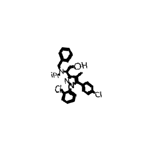 Cc1c(C(CO)N(Cc2ccccc2)C(C)C)nn(-c2ccccc2Cl)c1-c1ccc(Cl)cc1